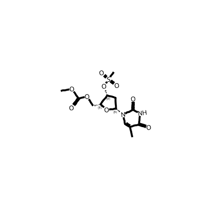 COC(=O)OC[C@H]1O[C@@H](n2cc(C)c(=O)[nH]c2=O)C[C@H]1OS(C)(=O)=O